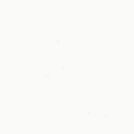 C=C(Nc1cc2cc(-c3cncn3C)ccc2cn1)C1CCN(C2CCOCC2)CC1